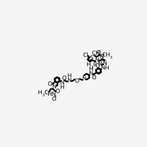 CCCC(C(=O)NC=O)N1Cc2c(NC(=O)CNCCOCCN3CCC(NC(=O)c4ccc(Nc5ncc6c(n5)N(Cc5ccc(Cl)s5)C(CC)C(=O)N6C)c(OC)c4)CC3)cccc2C1=O